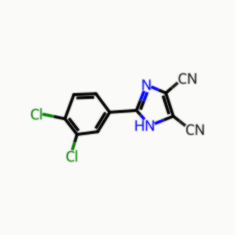 N#Cc1nc(-c2ccc(Cl)c(Cl)c2)[nH]c1C#N